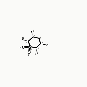 C[C@@H]1C[C@H](C)[C@H](C)S(=O)(=O)[C@@H]1C